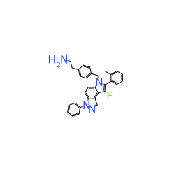 Cc1ccccc1-c1c(F)c2c3cnn(-c4ccccc4)c3ccc2n1Cc1ccc(CCN)cc1